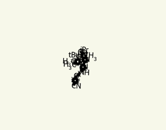 Cc1ncc(-c2ccc(NCCOc3ccc(C#N)cc3)cn2)c(N2CCC(C)(C)CC2)c1[C@H](OC(C)(C)C)C(=O)OC(C)C